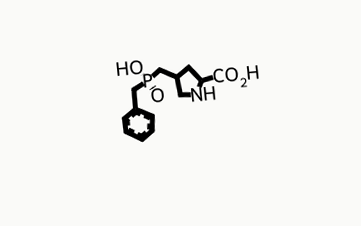 O=C(O)C1CC(CP(=O)(O)Cc2ccccc2)CN1